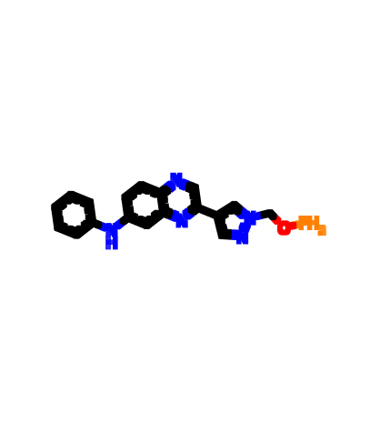 POCn1cc(-c2cnc3ccc(Nc4ccccc4)cc3n2)cn1